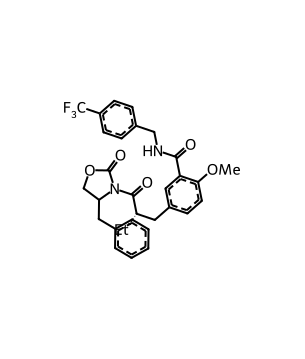 CC[C@@H](Cc1ccc(OC)c(C(=O)NCc2ccc(C(F)(F)F)cc2)c1)C(=O)N1C(=O)OCC1Cc1ccccc1